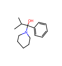 CC(C)C(O)(c1ccccc1)N1CCCCC1